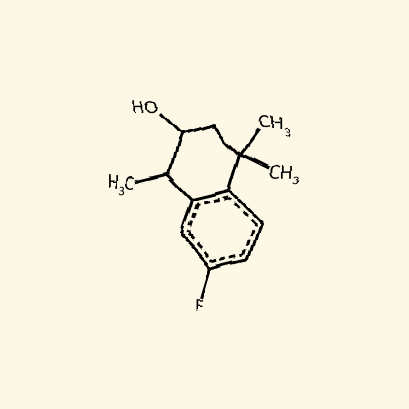 CC1c2cc(F)ccc2C(C)(C)CC1O